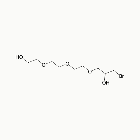 OCCOCCOCCOCC(O)CBr